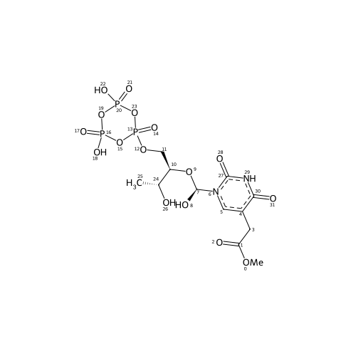 COC(=O)Cc1cn([C@@H](O)O[C@H](COP2(=O)OP(=O)(O)OP(=O)(O)O2)[C@@H](C)O)c(=O)[nH]c1=O